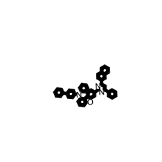 c1ccc(-c2ccc(N(c3ccccc3)c3cccc4oc5cc(-c6nc(-c7ccccc7)cc(-c7ccc8ccccc8c7)n6)ccc5c34)cc2)cc1